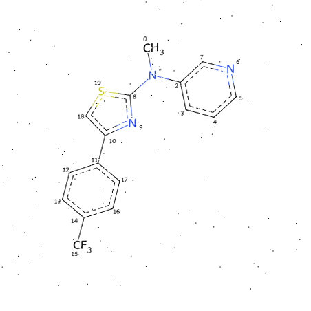 CN(c1cccnc1)c1nc(-c2ccc(C(F)(F)F)cc2)cs1